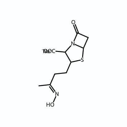 CC(CCC1SC2CC(=O)N2C1C(=O)[O-])=NO.[Na+]